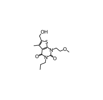 CCCn1c(=O)c2c(C)c(CO)sc2n(CCOC)c1=O